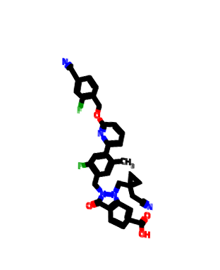 Cc1cc(Cn2c(=O)c3ccc(C(=O)O)cc3n2CC2(CC#N)CC2)c(F)cc1-c1cccc(OCc2ccc(C#N)cc2F)n1